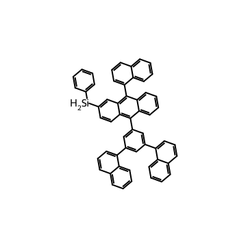 c1ccc([SiH2]c2ccc3c(-c4cc(-c5cccc6ccccc56)cc(-c5cccc6ccccc56)c4)c4ccccc4c(-c4cccc5ccccc45)c3c2)cc1